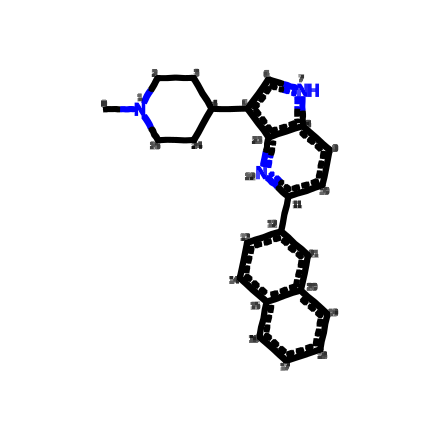 CN1CCC(c2c[nH]c3ccc(-c4ccc5ccccc5c4)nc23)CC1